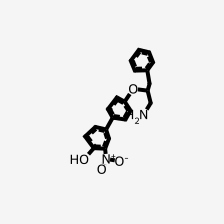 NCC(Cc1ccccc1)Oc1ccc(-c2ccc(O)c([N+](=O)[O-])c2)cc1